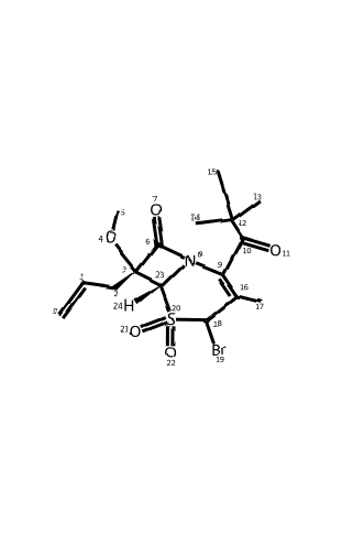 C=CC[C@@]1(OC)C(=O)N2C(C(=O)C(C)(C)C)=C(C)C(Br)S(=O)(=O)[C@@H]21